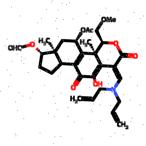 C=CCN(/C=C1/C(=O)O[C@H](COC)[C@@]2(C)C1=C(O)C(=O)C1=C2[C@H](OC(C)=O)C[C@@]2(C)C1CC[C@@H]2OC=O)CC=C